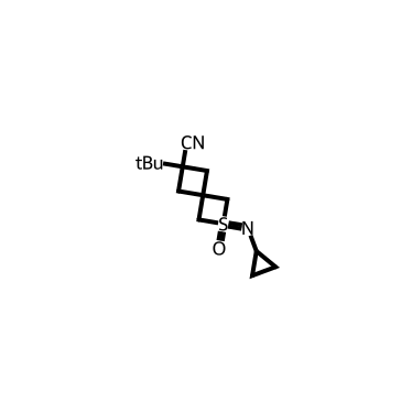 CC(C)(C)C1(C#N)CC2(C1)CS(=O)(=NC1CC1)C2